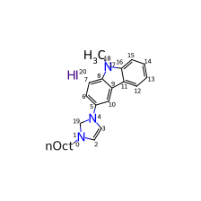 CCCCCCCCN1C=CN(c2ccc3c(c2)c2ccccc2n3C)C1.I